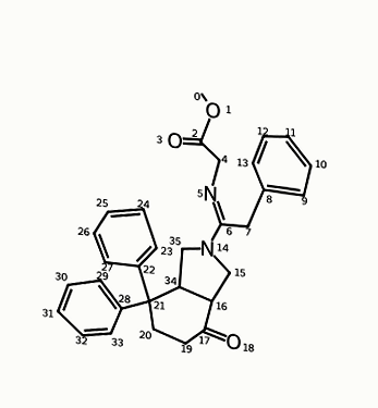 COC(=O)CN=C(Cc1ccccc1)N1CC2C(=O)CCC(c3ccccc3)(c3ccccc3)C2C1